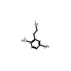 CC(=O)CCc1cc(C(C)C)ccc1O